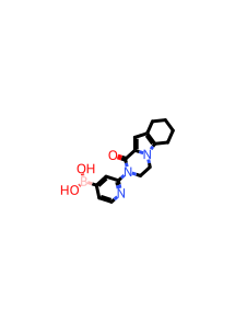 O=C1c2cc3c(n2CCN1c1cc(B(O)O)ccn1)CCCC3